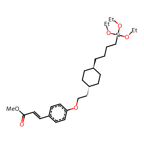 CCO[Si](CCCC[C@H]1CC[C@H](CCOc2ccc(C=CC(=O)OC)cc2)CC1)(OCC)OCC